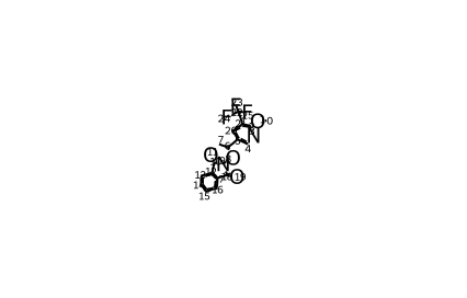 COc1ncc(C(C)ON2C(=O)c3ccccc3C2=O)cc1C(F)(F)F